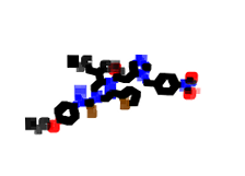 CCC(C)C(CN(CCc1cccs1)C(=S)Nc1ccc(OC)cc1)NC(=O)Cc1cncn1Cc1ccc([N+](=O)[O-])cc1